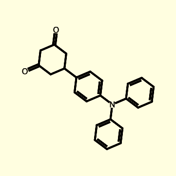 O=C1CC(=O)CC(c2ccc(N(c3ccccc3)c3ccccc3)cc2)C1